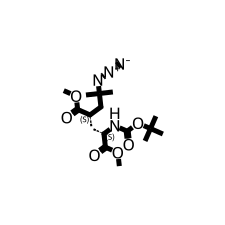 COC(=O)[C@@H](C[C@H](NC(=O)OC(C)(C)C)C(=O)OC)CC(C)(C)N=[N+]=[N-]